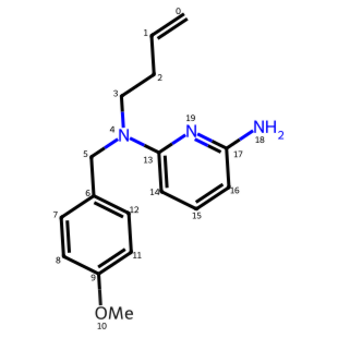 C=CCCN(Cc1ccc(OC)cc1)c1cccc(N)n1